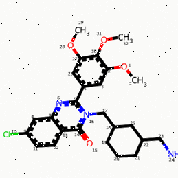 COc1cc(-c2nc3cc(Cl)ccc3c(=O)n2CC2CCCC(CN)C2)cc(OC)c1OC